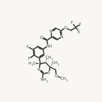 COC[C@@]1(C)SC(N)=N[C@](C)(c2cc(NC(=O)c3cnc(OCC(F)(F)F)cn3)cc(F)c2F)[C@@H]1C